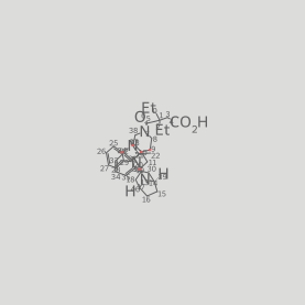 CCC(CC)(CC(=O)O)C(=O)N1CCC(CCN2[C@@H]3CC[C@H]2CC(n2c(C)nc4ccccc42)C3)(c2ccccc2)CC1